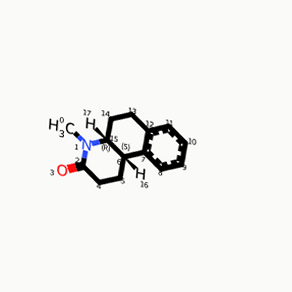 CN1C(=O)CC[C@H]2c3ccccc3CC[C@H]21